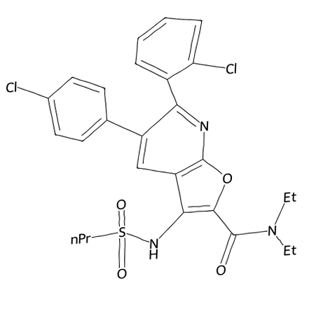 CCCS(=O)(=O)Nc1c(C(=O)N(CC)CC)oc2nc(-c3ccccc3Cl)c(-c3ccc(Cl)cc3)cc12